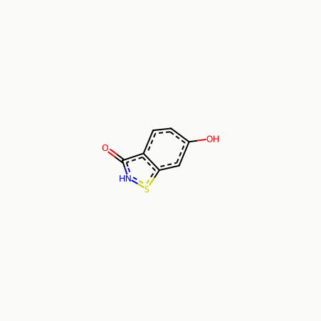 O=c1[nH]sc2cc(O)ccc12